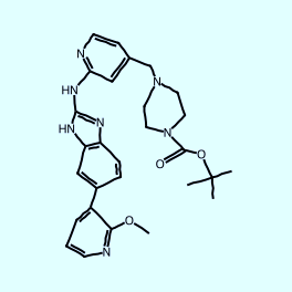 COc1ncccc1-c1ccc2nc(Nc3cc(CN4CCN(C(=O)OC(C)(C)C)CC4)ccn3)[nH]c2c1